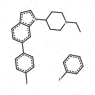 CCN1CCC(n2ccc3ccc(-c4ccc(F)cc4)cc32)CC1.Fc1ccccc1